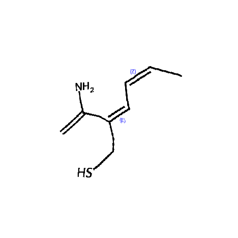 C=C(N)/C(=C\C=C/C)CS